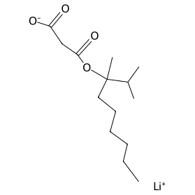 CCCCCCC(C)(OC(=O)CC(=O)[O-])C(C)C.[Li+]